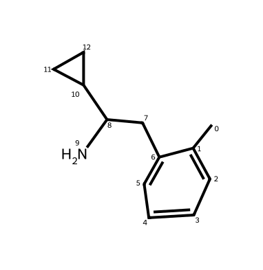 Cc1ccccc1CC(N)C1CC1